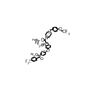 Br.CN(C(=O)c1ccc(C(F)(F)F)cc1)c1ccc(Oc2ccc3cc(C(=O)N4CCN(Cc5ccc(OCC(F)(F)F)cc5)CC4)n(C)c3c2)nc1